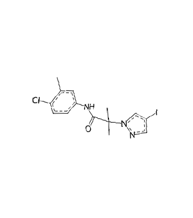 Cc1cc(NC(=O)C(C)(C)n2cc(I)cn2)ccc1Cl